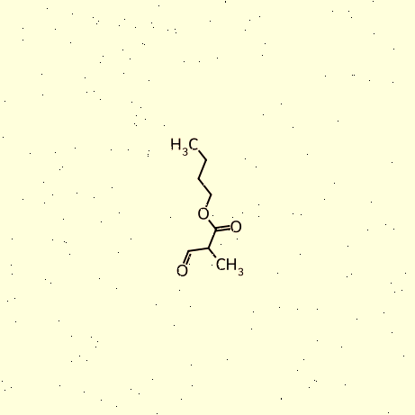 CCCCOC(=O)C(C)C=O